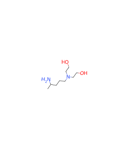 CC(N)CCCN(CCO)CCO